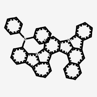 c1ccc(N(c2ccccc2)c2cccc3c4cccc5c6c7c8c9ccccc9cc9c%10ccccc%10n(c7cnc6n(c23)c45)c98)cc1